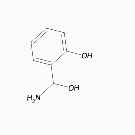 NC(O)c1ccccc1O